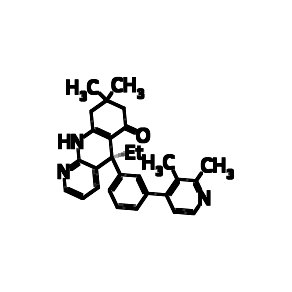 CC[C@@]1(c2cccc(-c3ccnc(C)c3C)c2)C2=C(CC(C)(C)CC2=O)Nc2ncccc21